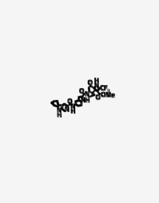 COC(=O)c1c(C(F)(F)F)[nH]c2c1C13CC1CN(C(=O)c1cc4cc(NC(=O)c5cc6c(cn5)[nH]c5ccccc56)ccc4[nH]1)C3=CC2=O